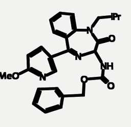 COc1ccc(C2=NC(NC(=O)OCc3ccccc3)C(=O)N(CC(C)C)c3ccccc32)cn1